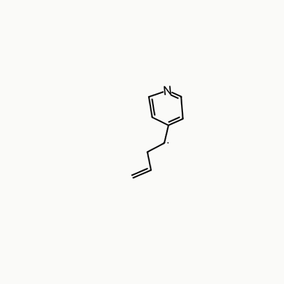 C=CC[CH]c1ccncc1